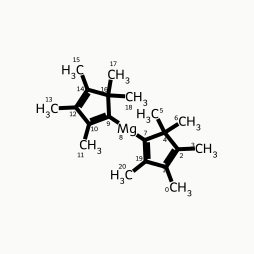 CC1=C(C)C(C)(C)[C]([Mg][C]2=C(C)C(C)=C(C)C2(C)C)=C1C